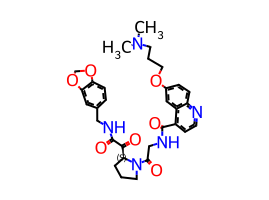 CN(C)CCCOc1ccc2nccc(C(=O)NCC(=O)N3CCC[C@H]3C(=O)C(=O)NCc3ccc4c(c3)OCO4)c2c1